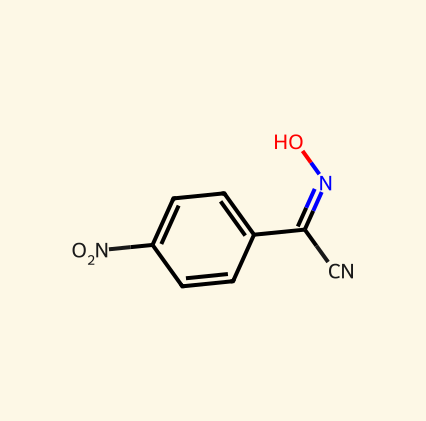 N#C/C(=N/O)c1ccc([N+](=O)[O-])cc1